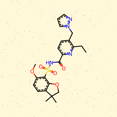 CCc1nc(C(=O)NS(=O)(=O)c2c(OC)ccc3c2OCC3(C)C)ccc1Cn1cccn1